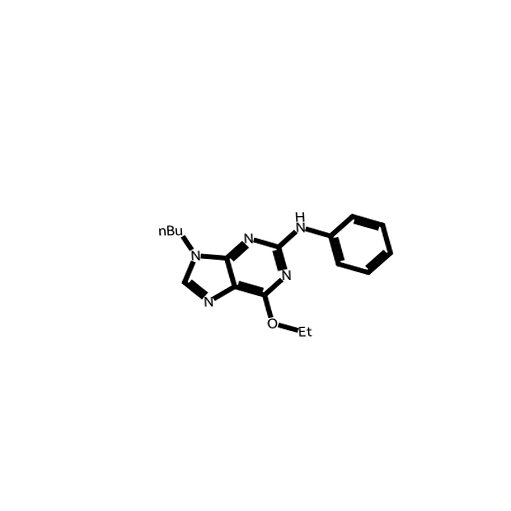 CCCCn1cnc2c(OCC)nc(Nc3ccccc3)nc21